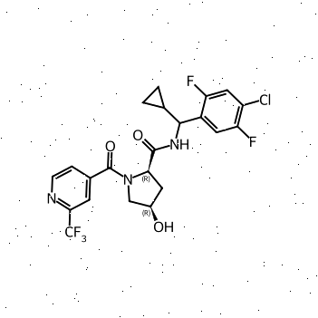 O=C(NC(c1cc(F)c(Cl)cc1F)C1CC1)[C@H]1C[C@@H](O)CN1C(=O)c1ccnc(C(F)(F)F)c1